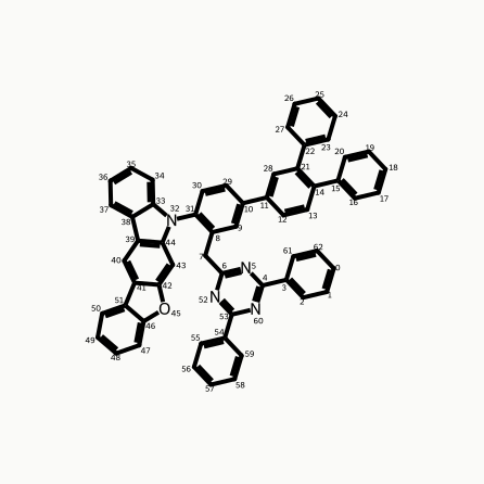 c1ccc(-c2nc(Cc3cc(-c4ccc(-c5ccccc5)c(-c5ccccc5)c4)ccc3-n3c4ccccc4c4cc5c(cc43)oc3ccccc35)nc(-c3ccccc3)n2)cc1